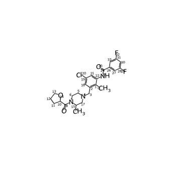 Cc1c(CN2CCN(C(=O)C3CCCO3)C(C)C2)cc(Cl)cc1NC(=O)c1cc(F)cc(F)c1